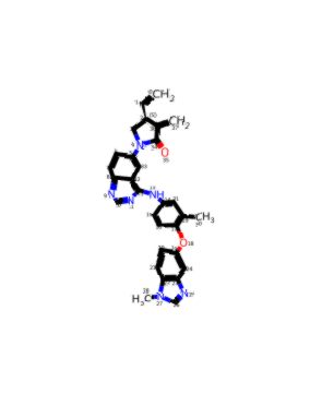 C=C[C@@H]1CN(c2ccc3ncnc(Nc4ccc(Oc5ccc6c(c5)ncn6C)c(C)c4)c3c2)C(=O)C1=C